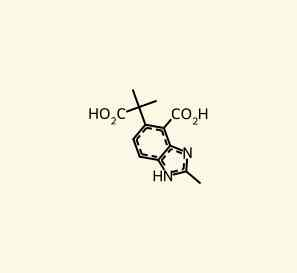 Cc1nc2c(C(=O)O)c(C(C)(C)C(=O)O)ccc2[nH]1